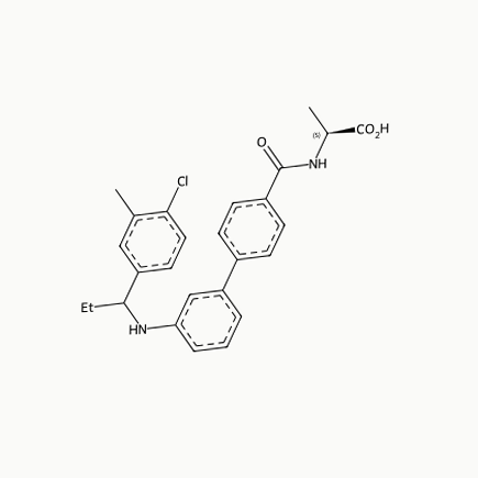 CCC(Nc1cccc(-c2ccc(C(=O)N[C@@H](C)C(=O)O)cc2)c1)c1ccc(Cl)c(C)c1